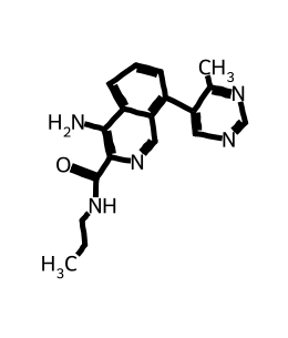 CCCNC(=O)c1ncc2c(-c3cncnc3C)cccc2c1N